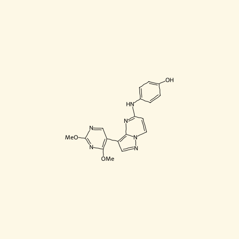 COc1ncc(-c2cnn3ccc(Nc4ccc(O)cc4)nc23)c(OC)n1